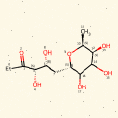 CCC(=O)[C@@H](O)[C@H](O)C[C@@H]1O[C@@H](C)[C@@H](O)C(O)C1O